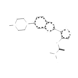 CCN(CC)C(=O)Nc1c[nH]nc1-c1nc2ccc(N3CCN(C)CC3)cc2[nH]1